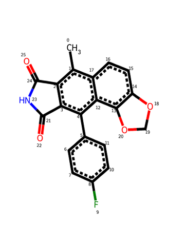 Cc1c2c(c(-c3ccc(F)cc3)c3c4c(ccc13)OCO4)C(=O)NC2=O